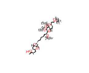 C=C(O)[C@H](C)CC1CC[C@@H]2O[C@@H](CCC/C=C/[C@H](O[Si](C)(C)C(C)(C)C)[C@@H]3O[C@H]4CCC(CCO[Si](CC)(CC)CC)O[C@@H]4C(O[Si](C)(C)C(C)(C)C)C3O[Si](C)(C)C(C)(C)C)C[C@]2(CI)O1